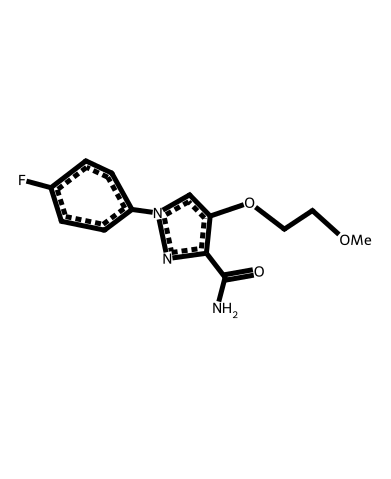 COCCOc1cn(-c2ccc(F)cc2)nc1C(N)=O